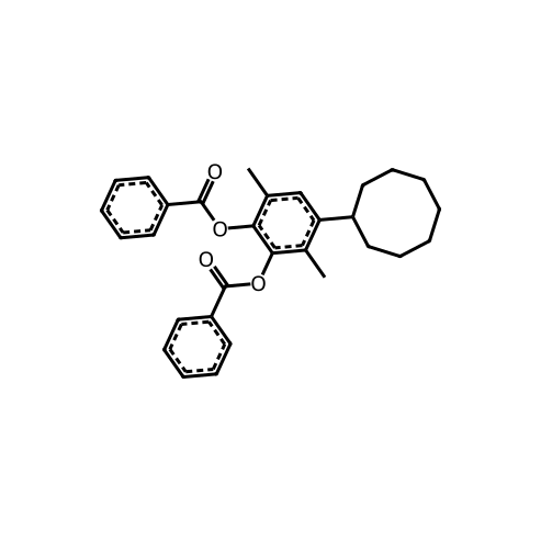 Cc1cc(C2CCCCCCC2)c(C)c(OC(=O)c2ccccc2)c1OC(=O)c1ccccc1